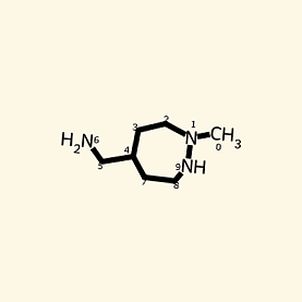 CN1CCC(CN)CCN1